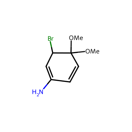 COC1(OC)C=CC(N)=CC1Br